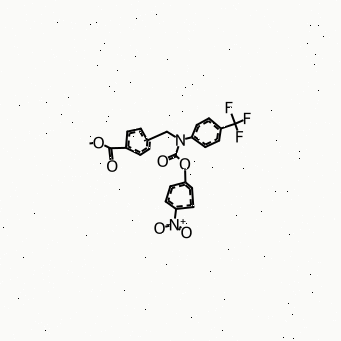 COC(=O)c1ccc(CN(C(=O)Oc2ccc([N+](=O)[O-])cc2)c2ccc(C(F)(F)F)cc2)cc1